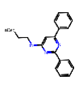 CCCCCCCCCCCCNc1cc(-c2ccccc2)nc(-c2ccccc2)n1